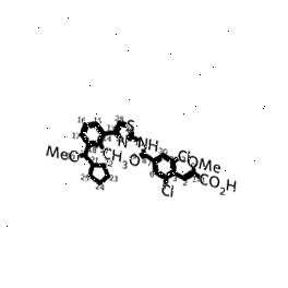 CO/C(=C\c1c(Cl)cc(C(=O)Nc2nc(-c3cccc(C(OC)C4CCCC4)c3C)cs2)cc1Cl)C(=O)O